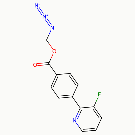 [N-]=[N+]=NCOC(=O)c1ccc(-c2ncccc2F)cc1